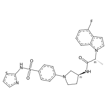 C[C@H](C(=O)N[C@H]1CCN(c2ccc(S(=O)(=O)Nc3nccs3)cc2)C1)n1ccc2c(F)cccc21